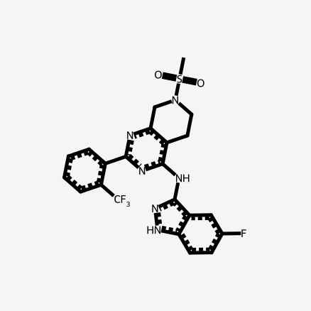 CS(=O)(=O)N1CCc2c(nc(-c3ccccc3C(F)(F)F)nc2Nc2n[nH]c3ccc(F)cc23)C1